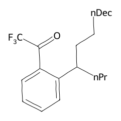 CCCCCCCCCCCCC(CCC)c1ccccc1C(=O)C(F)(F)F